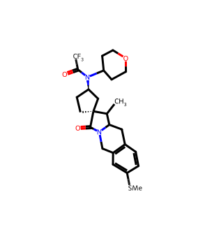 CSc1ccc2c(c1)CN1C(=O)[C@]3(CC[C@@H](N(C(=O)C(F)(F)F)C4CCOCC4)C3)C(C)C1C2